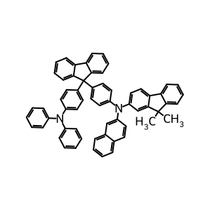 CC1(C)c2ccccc2-c2ccc(N(c3ccc(C4(c5ccc(N(c6ccccc6)c6ccccc6)cc5)c5ccccc5-c5ccccc54)cc3)c3ccc4ccccc4c3)cc21